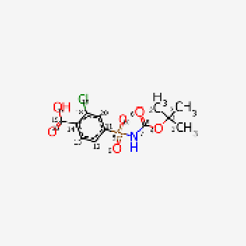 CC(C)(C)OC(=O)NS(=O)(=O)c1ccc(C(=O)O)c(Cl)c1